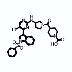 O=C(O)N1CCC(C(=O)N2CCC(Nc3ncc(Cl)c(-c4cn(S(=O)(=O)c5ccccc5)c5ccccc45)n3)C2)CC1